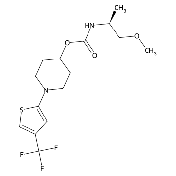 COC[C@H](C)NC(=O)OC1CCN(c2cc(C(F)(F)F)cs2)CC1